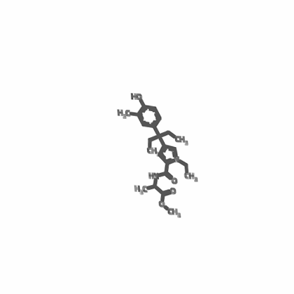 CCn1cc(C(CC)(CC)c2ccc(O)c(C)c2)cc1C(=O)NC(C)C(=O)OC